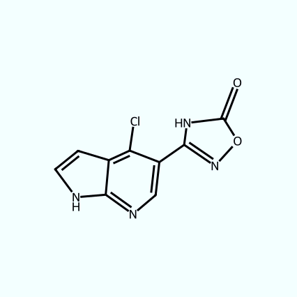 O=c1[nH]c(-c2cnc3[nH]ccc3c2Cl)no1